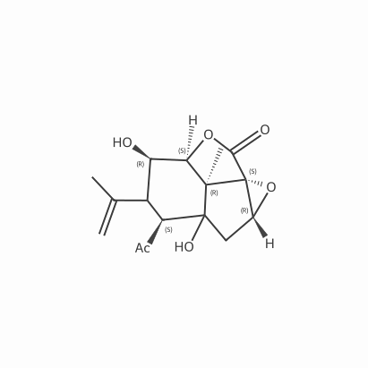 C=C(C)C1[C@@H](O)[C@H]2OC(=O)[C@@]34O[C@@H]3CC(O)([C@H]1C(C)=O)[C@@]24C